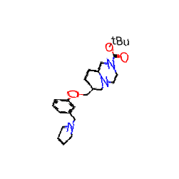 CC(C)(C)OC(=O)N1CCN2CC(COc3cccc(CN4CCCC4)c3)CCC2C1